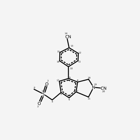 CS(=O)(=O)Cc1cc2c(c(-c3ccc(C#N)cc3)c1)CN(C#N)C2